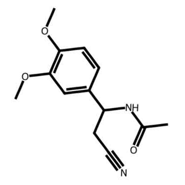 COc1ccc(C(CC#N)NC(C)=O)cc1OC